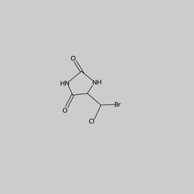 O=C1NC(=O)C(C(Cl)Br)N1